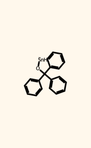 [SnH][O]C(c1ccccc1)(c1ccccc1)c1ccccc1